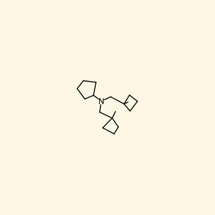 CC1(CN(CC2(C)CCC2)C2CCCC2)CCC1